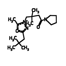 Cc1oc(CC(C)(C)C)n[n+]1CC(C)(C)CC(=O)N1CCCC1